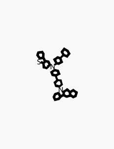 C1=C(c2ccc(N(c3ccc(-c4ccccc4)cc3)c3ccc4sc5ccccc5c4c3)cc2)CCC(n2c3ccccc3c3cc4ccccc4cc32)=C1